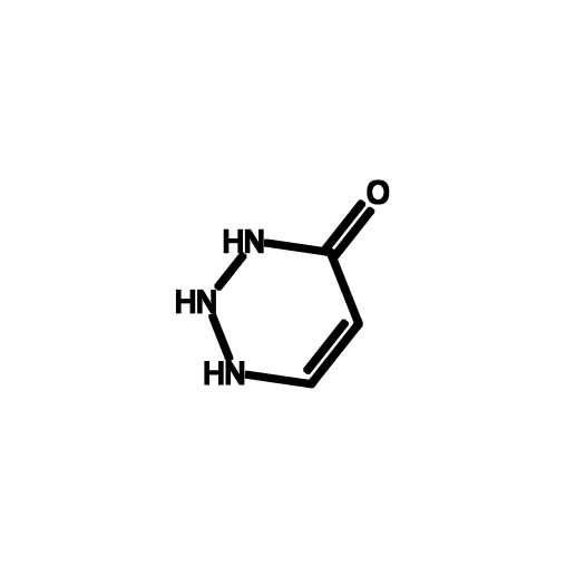 O=C1C=CNNN1